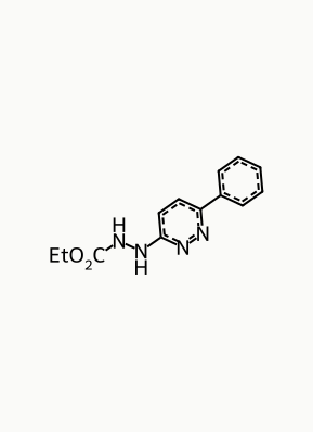 CCOC(=O)NNc1ccc(-c2ccccc2)nn1